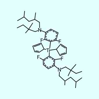 CCC(C)(C)CN(CC(C)CC(C)C)c1ccc(F)[c]([Ti]([c]2c(F)ccc(N(CC(C)CC(C)C)CC(C)(C)CC)c2F)([CH]2C=CC=C2)[CH]2C=CC=C2)c1F